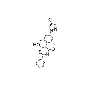 Cc1cc(-n2cc(Cl)cn2)cc(C)c1-c1c(O)sc(-c2ccccc2)nc1=O